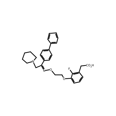 O=C(O)Cc1cccc(OCCON=C(CN2CCCCC2)c2ccc(-c3ccccc3)cc2)c1F